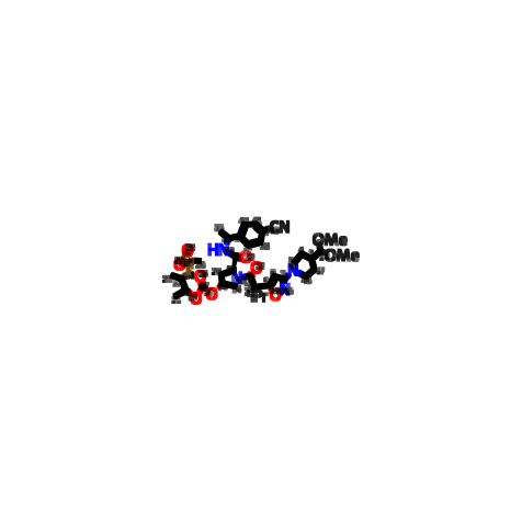 COC(OC)C1CCN(c2cc(C(C(=O)N3C[C@H](OC(=O)OC(C)C(C)SS(C)(=O)=O)C[C@H]3C(=O)NC(C)c3ccc(C#N)cc3)C(C)C)on2)CC1